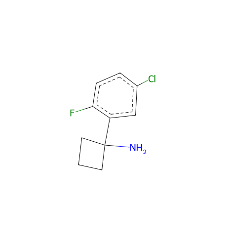 NC1(c2cc(Cl)ccc2F)CCC1